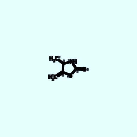 C=C1SC(=S)NC1C